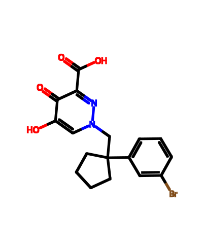 O=C(O)c1nn(CC2(c3cccc(Br)c3)CCCC2)cc(O)c1=O